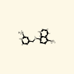 Nc1cc(COc2ccc([N+](=O)[O-])c3cccnc23)ccn1